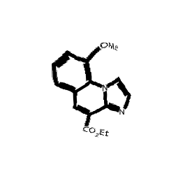 CCOC(=O)c1cc2cccc(OC)c2n2ccnc12